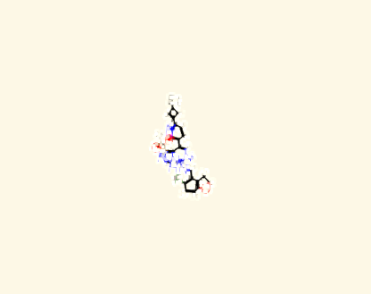 CCC1C=C(c2ccc(-c3cnc(NCc4c(F)ccc5c4CCO5)n4cnc(S(C)(=O)=O)c34)cn2)C1